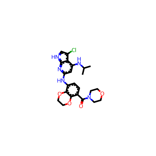 CC(C)Nc1cc(Nc2ccc(C(=O)N3CCOCC3)c3c2OCCO3)nc2[nH]cc(Cl)c12